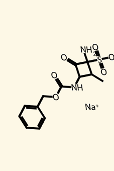 CC1C(NC(=O)OCc2ccccc2)C(=O)C1(N)S(=O)(=O)[O-].[Na+]